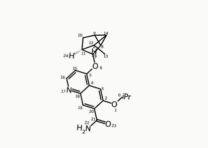 CC(C)Oc1cc2c(OC3C4C5C[C@H]3[C@H](C)C54)ccnc2cc1C(N)=O